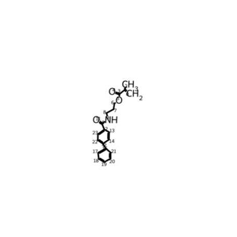 C=C(C)C(=O)OCCCNC(=O)c1ccc(-c2ccccc2)cc1